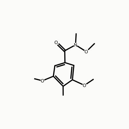 COc1cc(C(=O)N(C)OC)cc(OC)c1C